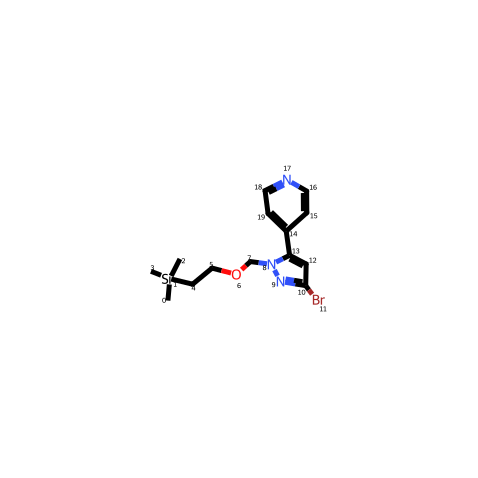 C[Si](C)(C)CCOCn1nc(Br)cc1-c1ccncc1